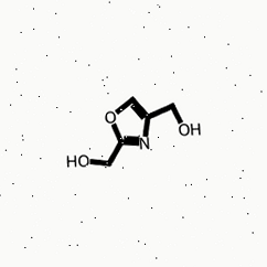 OCc1coc(CO)n1